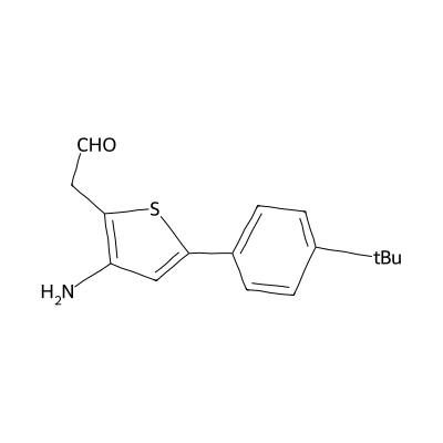 CC(C)(C)c1ccc(-c2cc(N)c(CC=O)s2)cc1